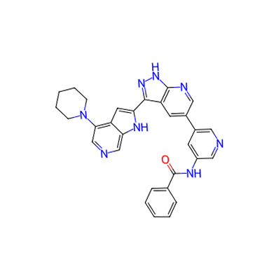 O=C(Nc1cncc(-c2cnc3[nH]nc(-c4cc5c(N6CCCCC6)cncc5[nH]4)c3c2)c1)c1ccccc1